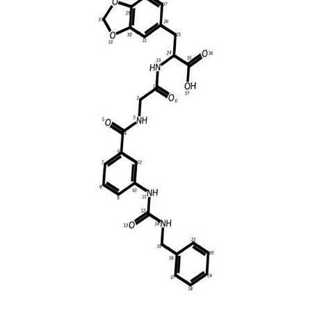 O=C(CNC(=O)c1cccc(NC(=O)NCc2ccccc2)c1)NC(Cc1ccc2c(c1)OCO2)C(=O)O